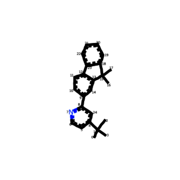 CC(C)(C)c1ccnc(-c2ccc3c(c2)C(C)(C)c2ccccc2-3)c1